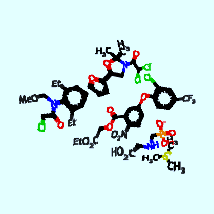 CC1(C)OC(c2ccco2)CN1C(=O)C(Cl)Cl.CCOC(=O)COC(=O)c1cc(Oc2ccc(C(F)(F)F)cc2Cl)ccc1[N+](=O)[O-].CCc1cccc(CC)c1N(COC)C(=O)CCl.C[S+](C)C.O=C(O)CNCP(=O)([O-])O